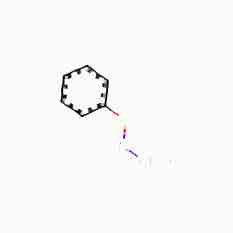 O=C[N]Oc1ccccc1